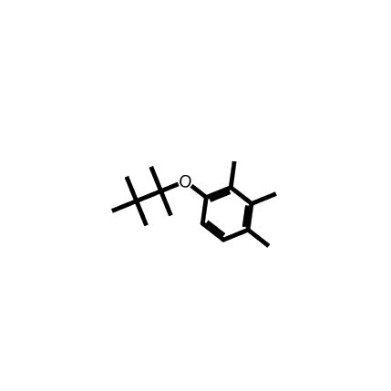 Cc1ccc(OC(C)(C)C(C)(C)C)c(C)c1C